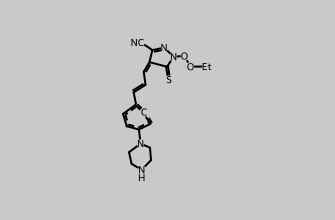 CCOON1N=C(C#N)/C(=C/C=C/c2ccc(N3CCNCC3)cc2)C1=S